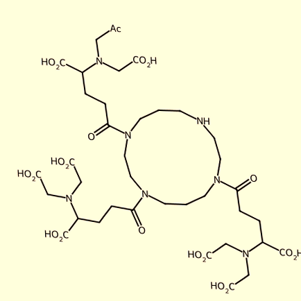 CC(=O)CN(CC(=O)O)C(CCC(=O)N1CCCNCCN(C(=O)CCC(C(=O)O)N(CC(=O)O)CC(=O)O)CCCN(C(=O)CCC(C(=O)O)N(CC(=O)O)CC(=O)O)CC1)C(=O)O